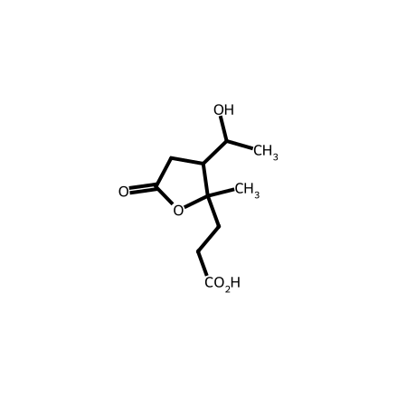 CC(O)C1CC(=O)OC1(C)CCC(=O)O